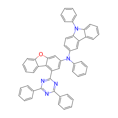 c1ccc(-c2nc(-c3ccccc3)nc(-c3cc(N(c4ccccc4)c4ccc5c(c4)c4ccccc4n5-c4ccccc4)cc4oc5ccccc5c34)n2)cc1